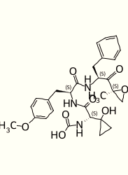 COc1ccc(C[C@H](NC(=O)[C@@H](NC(=O)O)C2(O)CC2)C(=O)N[C@@H](Cc2ccccc2)C(=O)[C@]2(C)CO2)cc1